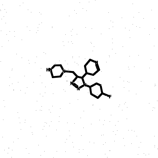 FC1CCC(N2N=NC(CN3CCNCC3)C2C2CC=NCC2)CC1